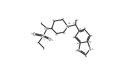 CCS(=O)(=O)N(C)C1CCN(C(C)c2ccc3scnc3c2)CC1